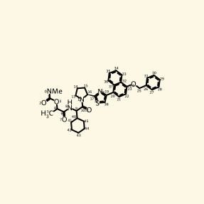 CNC(=O)OC(C)C(=O)NC(C(=O)N1CCC[C@H]1c1nc(-c2ccc(OCc3ccccc3)c3ccccc23)cs1)C1CCCCC1